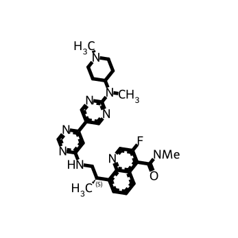 CNC(=O)c1c(F)cnc2c([C@H](C)CNc3cc(-c4cnc(N(C)C5CCN(C)CC5)nc4)ncn3)cccc12